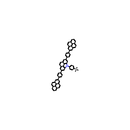 C[Si](C)(C)c1ccc(-n2c3cc(-c4ccc(-c5cc6ccc7cccc8ccc(c5)c6c78)cc4)cc4ccc5cc(-c6ccc(-c7cc8ccc9cccc%10ccc(c7)c8c9%10)cc6)cc2c5c43)cc1